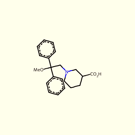 COC(CN1CCCC(C(=O)O)C1)(c1ccccc1)c1ccccc1